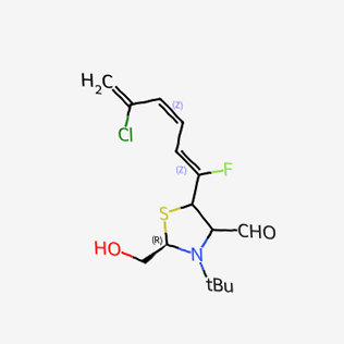 C=C(Cl)/C=C\C=C(/F)C1S[C@H](CO)N(C(C)(C)C)C1C=O